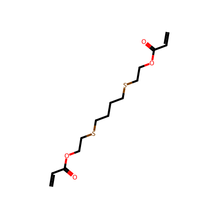 C=CC(=O)OCCSCCCCSCCOC(=O)C=C